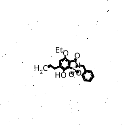 C=CCc1cc(OCC)c2c(c1O)S(=O)(=O)N(Cc1ccccc1)C2=O